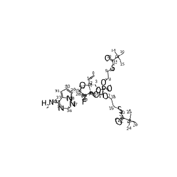 C=C[C@]1(COP(=O)(OCCSC(=O)C(C)(C)C)OCCSC(=O)C(C)(C)C)O[C@@H](c2ccc3c(N)ncnn23)[C@H](F)[C@@H]1O